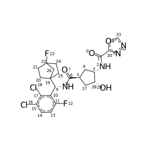 O=C(N[C@H]1C[C@H](C(=O)N[C@H](c2c(F)ccc(Cl)c2Cl)C23CCC(F)(CC2)C3)C[C@H]1O)c1nnco1